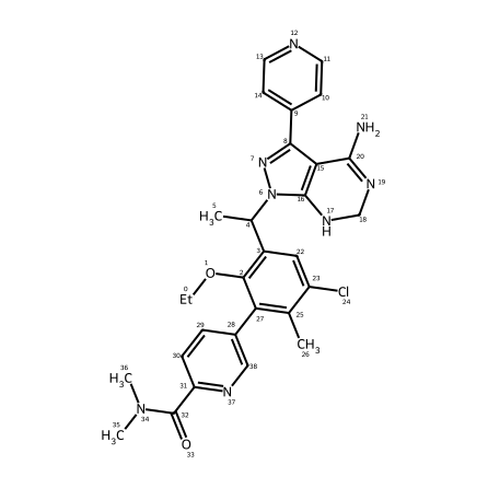 CCOc1c(C(C)n2nc(-c3ccncc3)c3c2NCN=C3N)cc(Cl)c(C)c1-c1ccc(C(=O)N(C)C)nc1